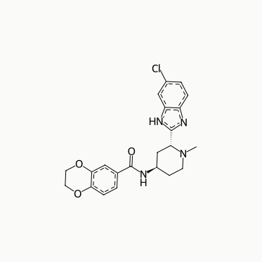 CN1CC[C@@H](NC(=O)c2ccc3c(c2)OCCO3)C[C@@H]1c1nc2ccc(Cl)cc2[nH]1